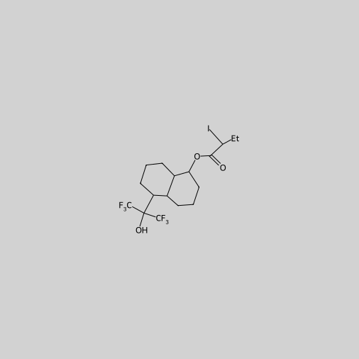 CCC(I)C(=O)OC1CCCC2C1CCCC2C(O)(C(F)(F)F)C(F)(F)F